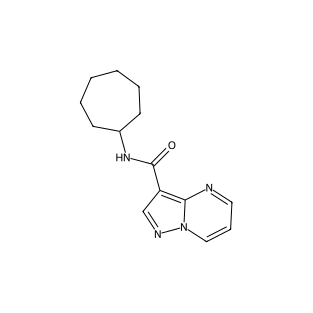 O=C(NC1CCCCCC1)c1cnn2cccnc12